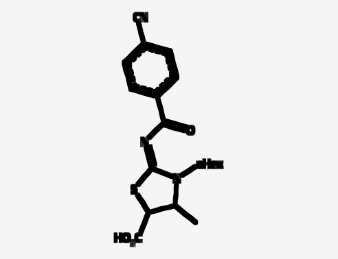 CCCCCCN1C(=NC(=O)c2ccc(C#N)cc2)SC(C(=O)O)C1C